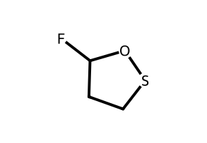 FC1CCSO1